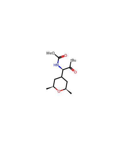 COC(=O)N[C@@H](C(=O)C(C)(C)C)C1C[C@@H](C)O[C@@H](C)C1